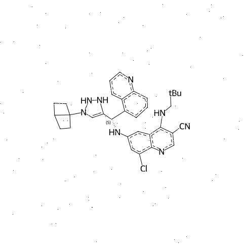 CC(C)(C)CNc1c(C#N)cnc2c(Cl)cc(N[C@H](C3=CN(C45CCC4CC5)NN3)c3cccc4ncccc34)cc12